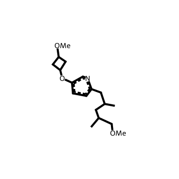 COCC(C)CC(C)Cc1ccc(OC2CC(OC)C2)cn1